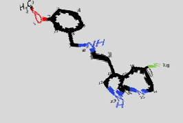 COc1cccc(CNCCc2c[nH]c3ncc(F)cc23)c1